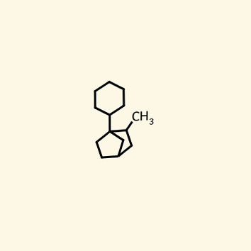 CC1CC2CCC1(C1CCCCC1)C2